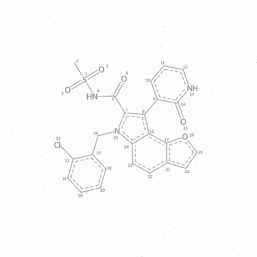 CS(=O)(=O)NC(=O)c1c(-c2ccc[nH]c2=O)c2c3occc3ccc2n1Cc1ccccc1Cl